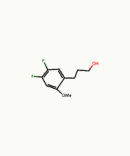 COc1cc(F)c(F)cc1CCCO